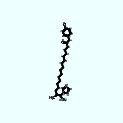 CC(CCCCCCCCCCCCCCC(=O)Cc1ccc(Cl)cc1)C(n1cncn1)C(C)(C)C